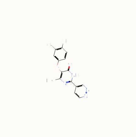 O=c1[nH]c(-c2ccnnc2)nc(C(F)(F)F)c1Oc1ccc(Cl)c(Cl)c1